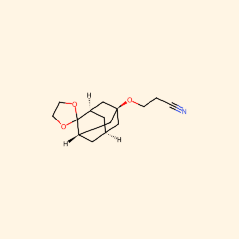 N#CCCO[C@]12C[C@@H]3C[C@H](C1)C1(OCCO1)[C@@H](C3)C2